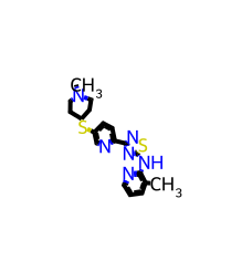 Cc1cccnc1Nc1nc(-c2ccc(SC3CCN(C)CC3)cn2)ns1